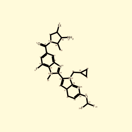 CCC1CN(C(=O)c2cc(F)c3c(c2)nc(C2=CC4CC=C(OC(F)F)N=C4N2CC2CC2)n3C)C(C)C1N